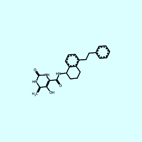 C=C1NC(=O)NC(C(=O)NC2CCCc3c(CCc4ccccc4)cccc32)=C1O